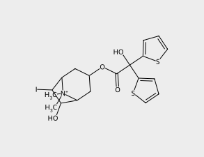 C[N+]1(C)C2CC(OC(=O)C(O)(c3cccs3)c3cccs3)CC1C(I)C2O